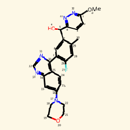 COc1ccc(C(O)c2cc(-c3ncnc4cc(N5CCOCC5)ccc34)c(F)cc2C)nn1